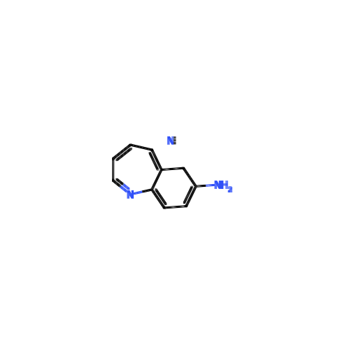 NC1=CC=C2N=CC=CC=C2C1.[N]